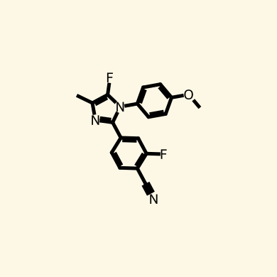 COc1ccc(-n2c(-c3ccc(C#N)c(F)c3)nc(C)c2F)cc1